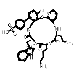 CN1C(=O)[C@H](CCCCN)NC(=O)[C@H](CCN)NCc2cccnc2Sc2c(Cl)ccc(-c3ccc(S(=O)(=O)O)cc3)c2CNC(=O)[C@@H]1Cc1c[nH]c2ccccc12